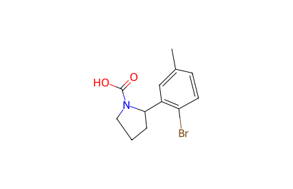 Cc1ccc(Br)c(C2CCCN2C(=O)O)c1